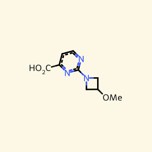 COC1CN(c2nccc(C(=O)O)n2)C1